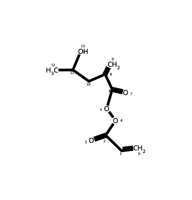 C=CC(=O)OOC(=O)C(=C)CC(C)O